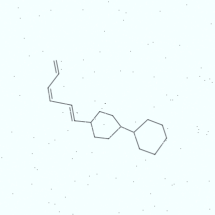 C=C/C=C\C=C\C1CCC(C2CCCCC2)CC1